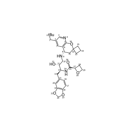 CC(C)(C)Cc1cnc2c(c1)[C@@H](NC[C@@H](O)[C@H](Cc1ccc3c(c1)OCO3)NC(=O)[C@H]1CCO1)CC1(CCC1)O2